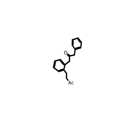 CC(=O)CCc1ccccc1CC(=O)Cc1ccccc1